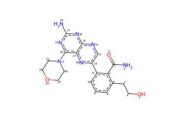 NC(=O)c1c(CCO)cccc1-c1cnc2nc(N)nc(N3CCOCC3)c2n1